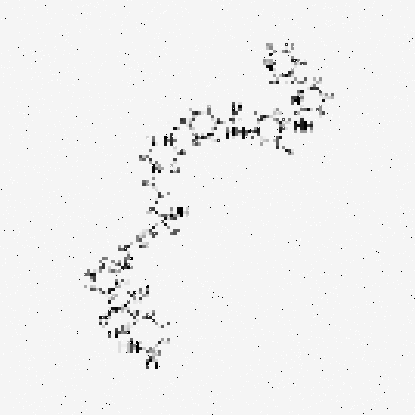 Cc1cc(NC(=O)c2ccc(CN3CCN(CCCC(C)(O)C#CCOc4cccc5c4C(=O)N(C4CCCC(=O)NC4=O)C5=O)CC3)cc2)ccc1Nc1cccc(-c2cccnc2)n1